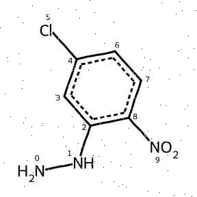 NNc1cc(Cl)ccc1[N+](=O)[O-]